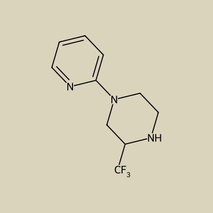 FC(F)(F)C1CN(c2ccccn2)CCN1